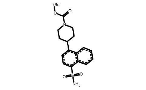 CC(C)(C)OC(=O)N1CCC(c2ccc(S(N)(=O)=O)c3ccccc23)CC1